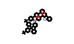 CC(C)(C)c1ccc(C2(c3ccc(C(C)(C)C)cc3)c3ccccc3-c3ccc(N(c4ccc(-c5cccc6c5oc5ccccc56)cc4)c4ccccc4-c4ccc(-c5ccccc5)cc4)cc32)cc1